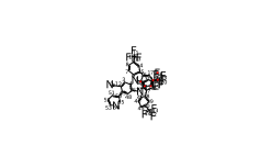 N#Cc1cc(-n2c3ccc(C(F)(F)F)cc3c3cc(C(F)(F)F)ccc32)c(-n2c3ccc(C(F)(F)F)cc3c3cc(C(F)(F)F)ccc32)cc1-c1cccnc1